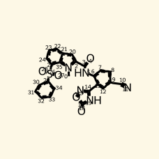 Cn1c(C(=O)Nc2ccc(C#N)cc2-c2noc(=O)[nH]2)cc2cccc(S(=O)(=O)c3ccccc3)c21